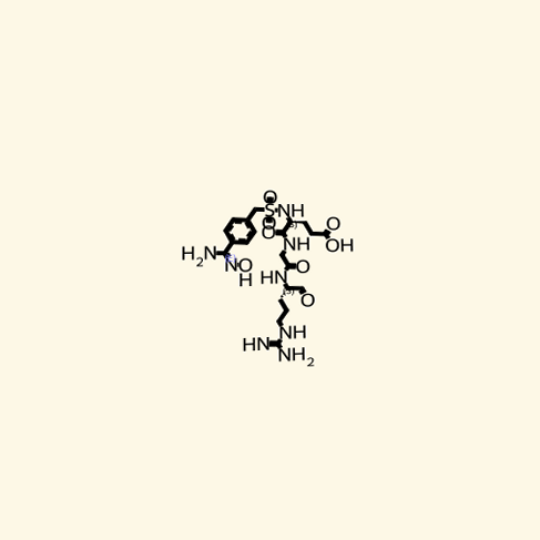 N=C(N)NCCC[C@@H](C=O)NC(=O)CNC(=O)[C@H](CCC(=O)O)NS(=O)(=O)Cc1ccc(/C(N)=N\O)cc1